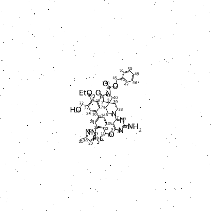 CCOC(=O)[C@@H]1CC2(CCN(c3cc(OC(c4ccc(-c5ccc(C)c(CO)c5)cc4-n4ccc(C)n4)C(F)(F)F)nc(N)n3)CC2)CN1C(=O)OCc1ccccc1